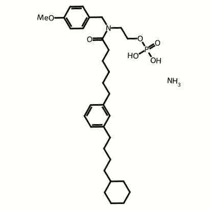 COc1ccc(CN(CCOP(=O)(O)O)C(=O)CCCCCc2cccc(CCCCC3CCCCC3)c2)cc1.N